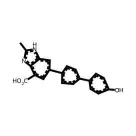 Cc1nc2c(C(=O)O)cc(-c3ccc(-c4ccc(O)cc4)cc3)cc2[nH]1